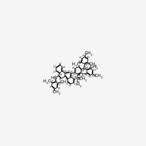 Cc1cc(C)c(Bc2cc3c4cccc5c4c(cc3c3ccccc23)-c2ccc(B(c3c(C)cc(C)cc3C)c3c(C)cc(C)cc3C)cc2[Si]5(C)C)c(C)c1